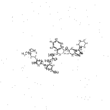 CN(C)CCc1nc(-n2nc(C(C)(C)C)cc2NC(=O)N[C@H]2CC[C@@H](Oc3ccc4nnc(N5CCCCC5)n4c3)c3ccccc32)c[nH]1